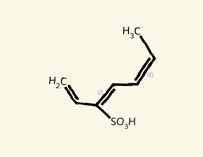 C=C/C(=C/C=C\C)S(=O)(=O)O